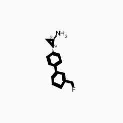 N[C@@H]1C[C@H]1c1ccc(-c2cccc(CF)c2)cc1